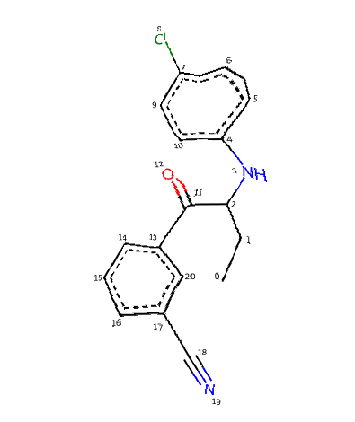 CCC(Nc1ccc(Cl)cc1)C(=O)c1cccc(C#N)c1